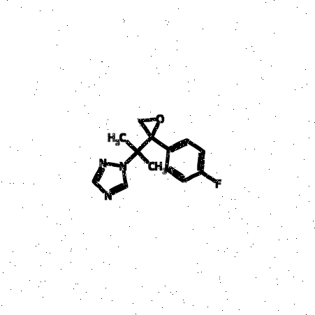 CC(C)(n1cncn1)C1(c2ccc(F)cc2)CO1